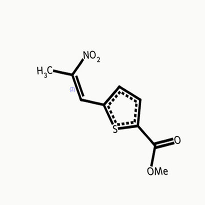 COC(=O)c1ccc(/C=C(/C)[N+](=O)[O-])s1